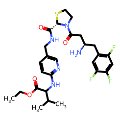 CCOC(=O)C(Nc1ccc(CNC(=O)[C@@H]2SCCN2C(=O)C[C@H](N)Cc2cc(F)c(F)cc2F)cn1)C(C)C